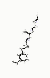 C/C=N/O/C=C/C(=N)/C=C/NCc1cncc(OC)c1